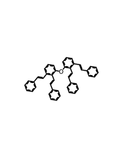 C(=Cc1cccc(Oc2cccc(C=Cc3ccccc3)c2C=Cc2ccccc2)c1C=Cc1ccccc1)c1ccccc1